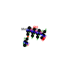 COc1cccc(OC)c1-c1c2nccc(-c3ccc(F)cc3F)c2cc[n+]1[O-].Cc1cc(O)ccc1-c1c2nccc(-c3ccc(F)cc3F)c2cc[n+]1[O-].Cc1cccc(C)c1-c1c2nccc(-c3ccc(F)cc3F)c2cc[n+]1[O-].[O-][n+]1ccc2c(-c3ccc(F)cc3F)ccnc2c1-c1c(F)cccc1F.[O-][n+]1ccc2c(-c3ccc(F)cc3F)ccnc2c1-c1cccc2c1OCO2